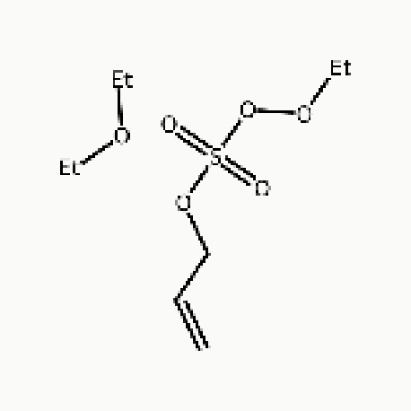 C=CCOS(=O)(=O)OOCC.CCOCC